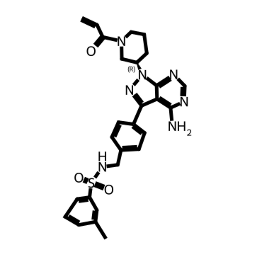 C=CC(=O)N1CCC[C@@H](n2nc(-c3ccc(CNS(=O)(=O)c4cccc(C)c4)cc3)c3c(N)ncnc32)C1